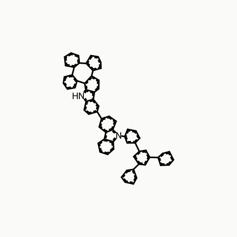 c1ccc(-c2cc(-c3ccccc3)cc(-c3cccc(-n4c5ccccc5c5cc(-c6ccc7[nH]c8c9c(ccc8c7c6)-c6ccccc6-c6ccccc6-c6ccccc6-9)ccc54)c3)c2)cc1